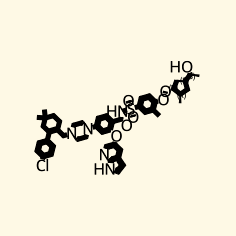 Cc1cc(S(=O)(=O)NC(=O)c2ccc(N3CCN(CC4=C(c5ccc(Cl)cc5)CC(C)(C)CC4)CC3)cc2Oc2cnc3[nH]ccc3c2)ccc1OO[C@@H]1C[C@@H]([C@H](C)O)C[C@H]1C